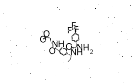 CCC(NC(=O)C(N)c1ccc(C(F)(F)F)cc1)c1ccc(C(=O)NCCC(=O)OC)cc1